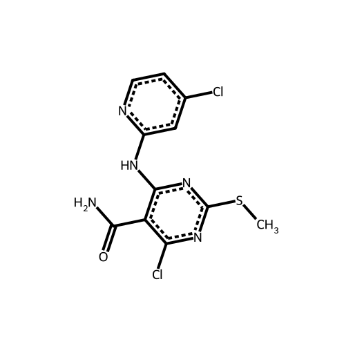 CSc1nc(Cl)c(C(N)=O)c(Nc2cc(Cl)ccn2)n1